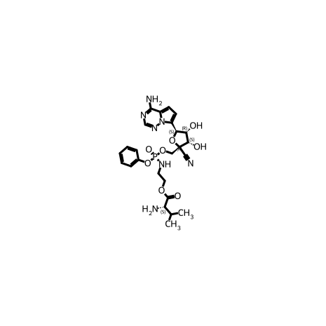 CC(C)[C@H](N)C(=O)OCCNP(=O)(OC[C@@]1(C#N)O[C@@H](c2ccc3c(N)ncnn23)[C@H](O)[C@@H]1O)Oc1ccccc1